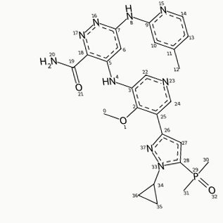 COc1c(Nc2cc(Nc3cc(C)ccn3)nnc2C(N)=O)cncc1-c1cc(P(C)(C)=O)n(C2CC2)n1